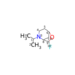 CC(C)N1CCC2CC1C(F)O2